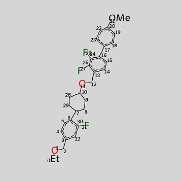 CCOCc1ccc(C2CCC(OCc3ccc(-c4ccc(OC)cc4)c(F)c3F)CC2)c(F)c1